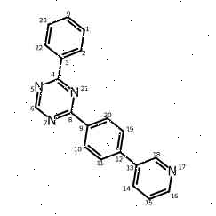 c1ccc(-c2ncnc(-c3ccc(-c4cccnc4)cc3)n2)cc1